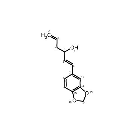 C=CCC(O)/C=C/c1ccc2c(c1)OCO2